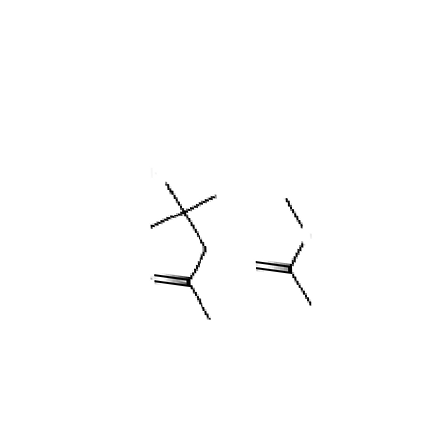 CC(=O)CC(C)(C)O.COC(C)=O